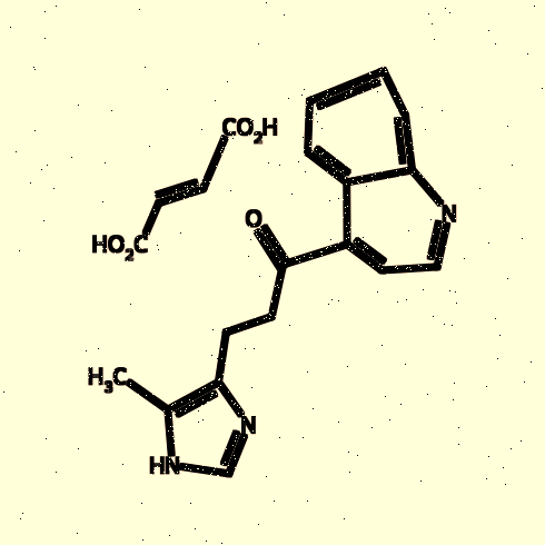 Cc1[nH]cnc1CCC(=O)c1ccnc2ccccc12.O=C(O)C=CC(=O)O